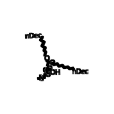 CCCCCCCCCCCCCCCCCCOCC(COP(=O)(O)OCC[N+](C)(C)C)OCCCCCCCCCCCCCCCCCC